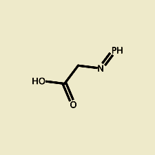 O=C(O)CN=P